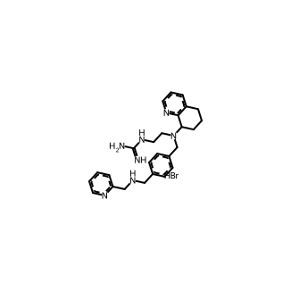 Br.N=C(N)NCCN(Cc1ccc(CNCc2ccccn2)cc1)C1CCCc2cccnc21